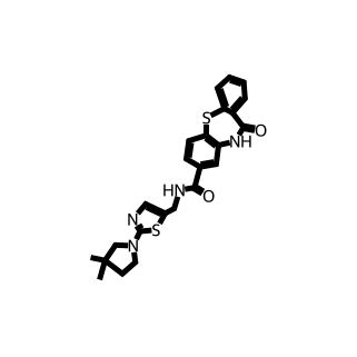 CC1(C)CCN(c2ncc(CNC(=O)c3ccc4c(c3)NC(=O)c3ccccc3S4)s2)C1